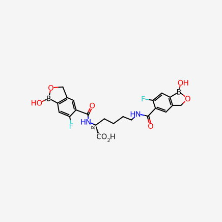 O=C(NCCCC[C@H](NC(=O)c1cc2c(cc1F)B(O)OC2)C(=O)O)c1cc2c(cc1F)B(O)OC2